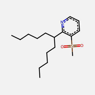 CCCCCC(CCCCC)c1ncccc1S(C)(=O)=O